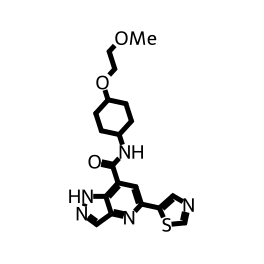 COCCOC1CCC(NC(=O)c2cc(-c3cncs3)nc3cn[nH]c23)CC1